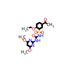 CCOc1ccc(C(C)=O)cc1S(=O)(=O)NC(=O)Nc1nc(OC)cc(OC)n1